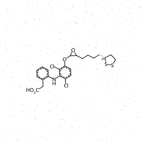 O=C(O)Cc1ccccc1Nc1c(Cl)ccc(OC2OC2CCCC[C@@H]2CCSS2)c1Cl